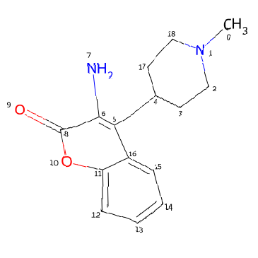 CN1CCC(c2c(N)c(=O)oc3ccccc23)CC1